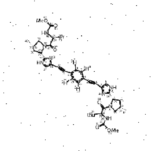 [2H]c1c([2H])c(C#Cc2c[nH]c([C@@H]3C[C@H](C)CN3C(=O)[C@@H](NC(=O)OC)C(C)(C)C)n2)c([2H])c([2H])c1C#Cc1c[nH]c([C@@H]2C[C@H](C)CN2C(=O)[C@@H](NC(=O)OC)C(C)C)n1